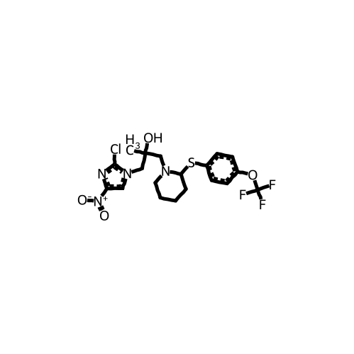 CC(O)(CN1CCCCC1Sc1ccc(OC(F)(F)F)cc1)Cn1cc([N+](=O)[O-])nc1Cl